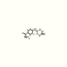 C=C(N)c1ccc(OC2CCNCC2)cc1